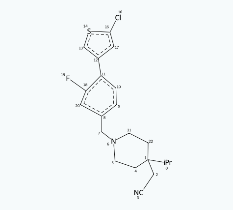 CC(C)C1(CC#N)CCN(Cc2ccc(-c3csc(Cl)c3)c(F)c2)CC1